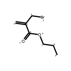 C=C(CBr)C(=O)OCCC